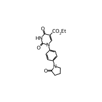 CCOC(=O)c1cn(-c2ccc(N3CCCC3=O)cc2)c(=O)[nH]c1=O